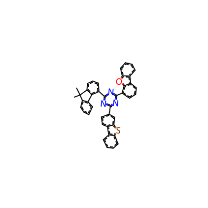 CC1(C)c2ccccc2-c2c(-c3nc(-c4ccc5c(c4)sc4ccccc45)nc(-c4cccc5c4oc4ccccc45)n3)cccc21